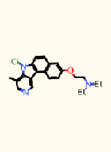 CCN(CC)CCOc1ccc2c(ccc3c2c2cncc(C)c2n3Cl)c1